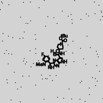 CNc1cc(F)ccc1C(=N)c1cnc2[nH]cc(C(=O)NC3(C)CCN(C(=O)OC(C)(C)C)CC3)c2n1